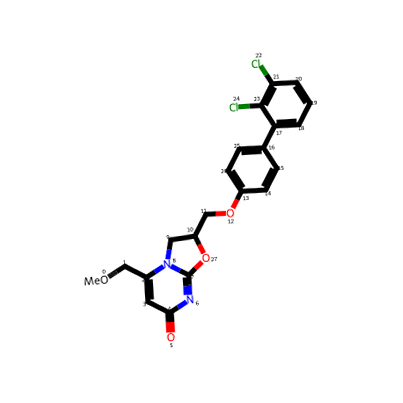 COCc1cc(=O)nc2n1CC(COc1ccc(-c3cccc(Cl)c3Cl)cc1)O2